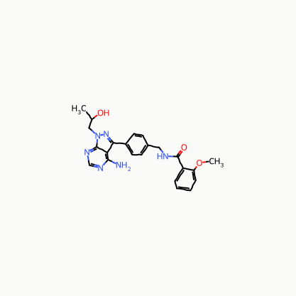 COc1ccccc1C(=O)NCc1ccc(-c2nn(CC(C)O)c3ncnc(N)c23)cc1